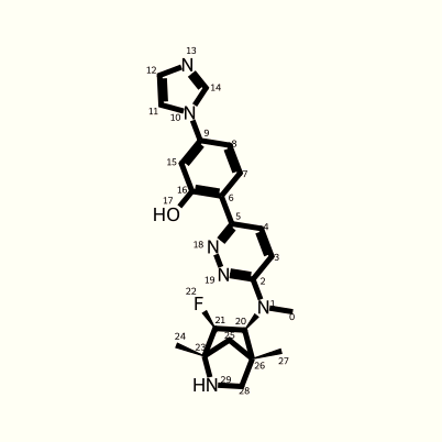 CN(c1ccc(-c2ccc(-n3ccnc3)cc2O)nn1)[C@@H]1[C@H](F)[C@]2(C)C[C@@]1(C)CN2